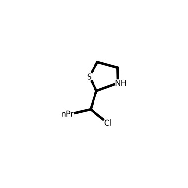 CCCC(Cl)C1NCCS1